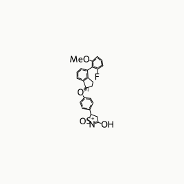 COc1cccc(F)c1-c1cccc2c1CC[C@H]2Oc1ccc(C2CC(O)=N[S+]2[O-])cc1